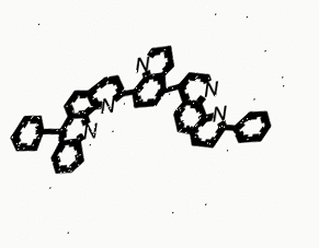 c1ccc(-c2ccc3ccc4c(-c5ccc(-c6ccc7ccc8c(-c9ccccc9)c9ccccc9nc8c7n6)c6ncccc56)ccnc4c3n2)cc1